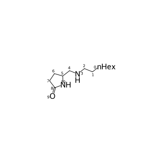 CCCCCCCCNCC1CCC(=O)N1